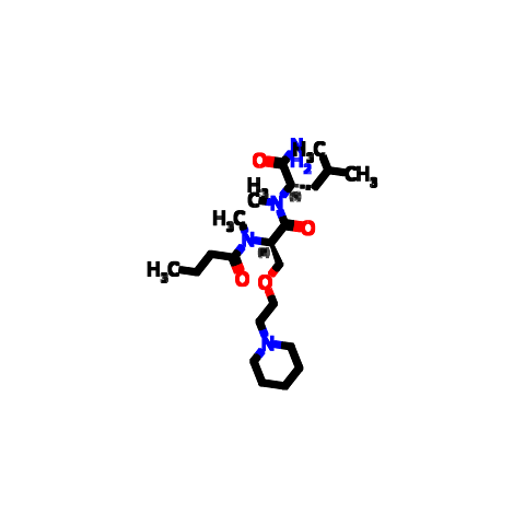 CCCC(=O)N(C)[C@H](COCCN1CCCCC1)C(=O)N(C)[C@@H](CC(C)C)C(N)=O